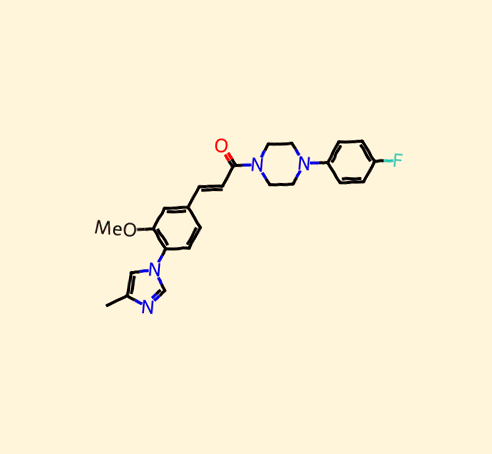 COc1cc(C=CC(=O)N2CCN(c3ccc(F)cc3)CC2)ccc1-n1cnc(C)c1